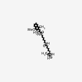 COc1c(Cl)c(/C=C(\C)C(=O)NCCCCCCNC(=O)CCCCC[C@H]2NC(=O)N[C@H]2C)c(C)c2ccccc12